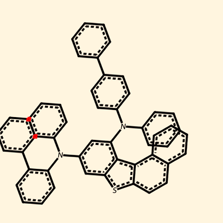 c1ccc(-c2ccc(N(c3ccccc3)c3cc(N(c4ccccc4)c4ccccc4-c4ccccc4)cc4sc5ccc6ccccc6c5c34)cc2)cc1